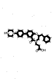 O=C(O)CCN1CC(Cc2ccccc2)Oc2ccc(-c3ccc(N4CCNCC4)cc3)cc2C1=O